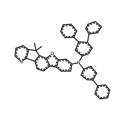 CC1(C)c2cccnc2-c2ccc3c(oc4cc(N(c5ccc(-c6ccccc6)cc5)c5ccc(-c6ccccc6)c(-c6ccccc6)c5)ccc43)c21